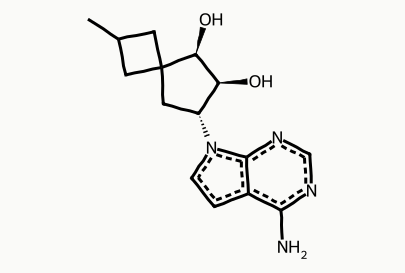 CC1CC2(C1)C[C@@H](n1ccc3c(N)ncnc31)[C@H](O)[C@@H]2O